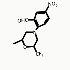 CC1CN(c2ccc([N+](=O)[O-])cc2C=O)CC(C(F)(F)F)O1